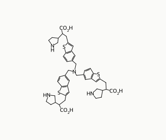 O=C(O)C(Cc1cc2cc(CN(Cc3ccc4sc(CC(C(=O)O)C5CCNC5)cc4c3)Cc3ccc4sc(CC(C(=O)O)C5CCNC5)cc4c3)ccc2s1)C1CCNC1